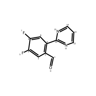 O=Cc1cc(F)c(F)cc1-c1ncccn1